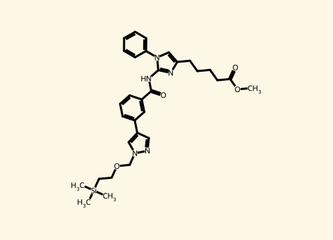 COC(=O)CCCCc1cn(-c2ccccc2)c(NC(=O)c2cccc(-c3cnn(COCC[Si](C)(C)C)c3)c2)n1